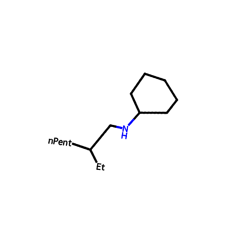 CCCCCC(CC)CNC1CCCCC1